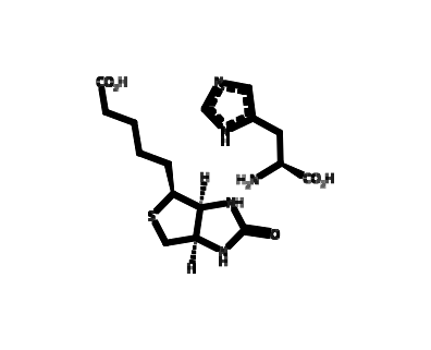 N[C@@H](Cc1cnc[nH]1)C(=O)O.O=C(O)CCCC[C@@H]1SC[C@@H]2NC(=O)N[C@@H]21